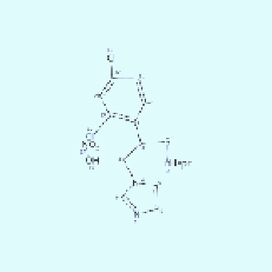 CCCCCCCSC(Cn1ccnc1)c1ccc(Cl)cc1Cl.O=[N+]([O-])O